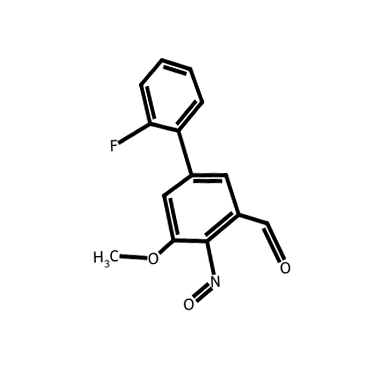 COc1cc(-c2ccccc2F)cc(C=O)c1N=O